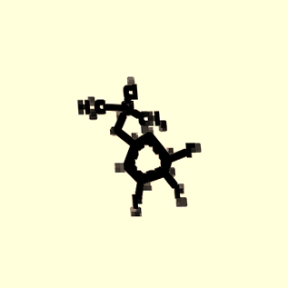 C[Si](C)(Cl)Cc1cc(F)c(F)c(F)c1